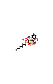 CCCCCCCCCC(C(=O)O)C(Oc1ccccc1)(C(=O)O)S(=O)(=O)O